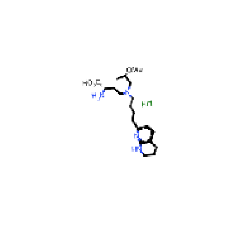 CO[C@H](C)CN(CCCCc1ccc2c(n1)NCCC2)CC[C@H](N)C(=O)O.Cl